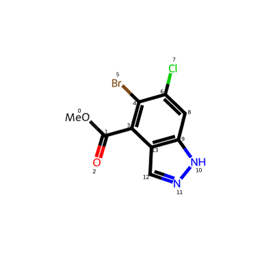 COC(=O)c1c(Br)c(Cl)cc2[nH]ncc12